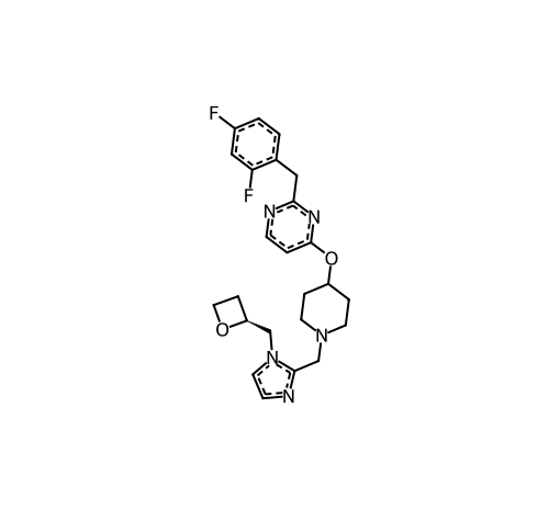 Fc1ccc(Cc2nccc(OC3CCN(Cc4nccn4C[C@@H]4CCO4)CC3)n2)c(F)c1